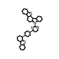 c1ccc2c(c1)sc1c(-c3ccc(-c4ccnc(-n5c6ccccc6c6c7sc8ccccc8c7ccc65)n4)cc3)cccc12